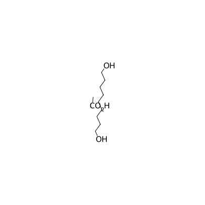 CC(=O)O.OCCCCCCCCCO